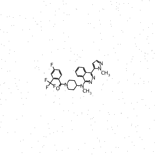 CN(c1nnc(-c2ccnn2C)c2ccccc12)C1CCN(C(=O)c2ccc(F)cc2C(F)(F)F)CC1